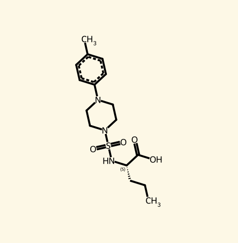 CCC[C@H](NS(=O)(=O)N1CCN(c2ccc(C)cc2)CC1)C(=O)O